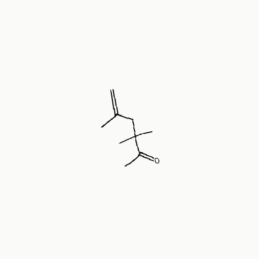 C=C(C)CC(C)(C)C(C)=O